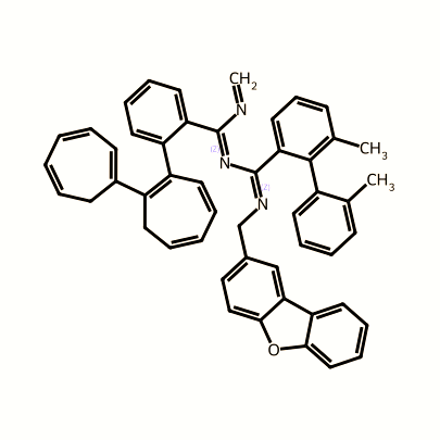 C=N/C(=N\C(=N/Cc1ccc2oc3ccccc3c2c1)c1cccc(C)c1-c1ccccc1C)c1ccccc1C1=C(C2=CC=CC=CC2)CC=CC=C1